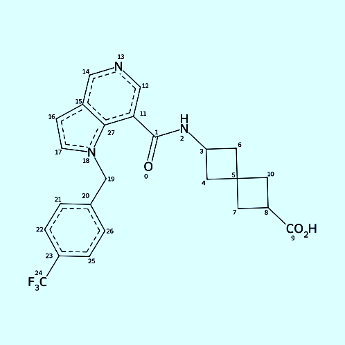 O=C(NC1CC2(C1)CC(C(=O)O)C2)c1cncc2ccn(Cc3ccc(C(F)(F)F)cc3)c12